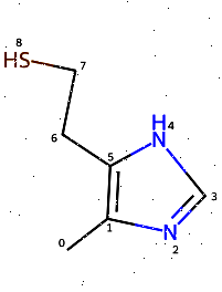 Cc1nc[nH]c1CCS